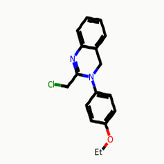 CCOc1ccc(N2Cc3ccccc3N=C2CCl)cc1